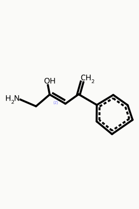 C=C(/C=C(\O)CN)c1ccccc1